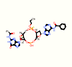 CC(C)C(=O)Nc1nc2c(ncn2[C@@H]2O[C@@H]3COP(=S)(OCCC#N)O[C@H]4C[C@H](n5cnc6c(NC(=O)c7ccccc7)ncnc65)O[C@@H]4COP(O)O[C@@H]2[C@@H]3F)c(=O)[nH]1